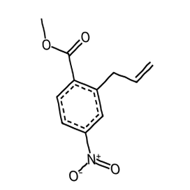 C=CCc1cc([N+](=O)[O-])ccc1C(=O)OC